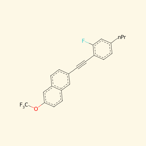 CCCc1ccc(C#Cc2ccc3cc(OC(F)(F)F)ccc3c2)c(F)c1